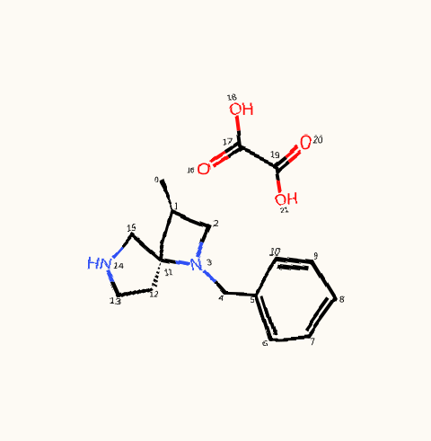 C[C@H]1CN(Cc2ccccc2)[C@]12CCNC2.O=C(O)C(=O)O